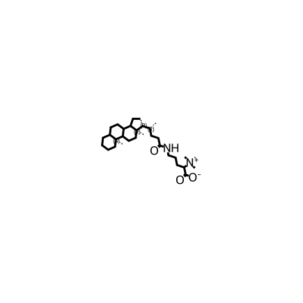 C[C@H](CCC(=O)NCCCC(C(=O)[O-])[N+](C)(C)C)[C@H]1CCC2C3CCC4CCCC[C@]4(C)C3CC[C@@]21C